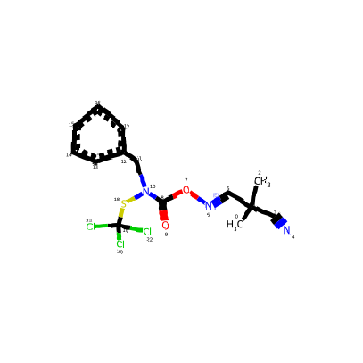 CC(C)(C#N)/C=N/OC(=O)N(Cc1ccccc1)SC(Cl)(Cl)Cl